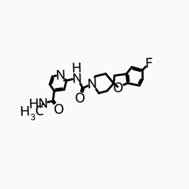 CNC(=O)c1ccnc(NC(=O)N2CCC3(CC2)Cc2cc(F)ccc2O3)c1